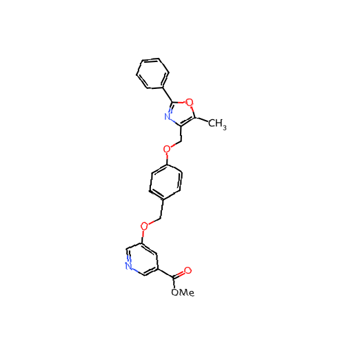 COC(=O)c1cncc(OCc2ccc(OCc3nc(-c4ccccc4)oc3C)cc2)c1